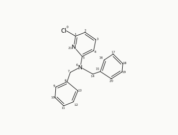 Clc1cccc(N(Cc2ccccc2)Cc2ccccc2)n1